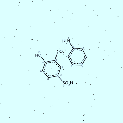 Nc1ccccc1.O=C(O)c1cc(S(=O)(=O)O)ccc1O